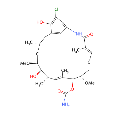 CO[C@H]1C[C@H](C)Cc2cc(cc(Cl)c2O)NC(=O)/C(C)=C/CC[C@H](OC)[C@@H](OC(N)=O)/C(C)=C/[C@H](C)[C@H]1O